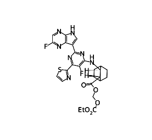 CCOC(=O)OCOC(=O)[C@H]1C2CCC(CC2)[C@@H]1Nc1nc(-c2c[nH]c3ncc(F)nc23)nc(-c2nccs2)c1F